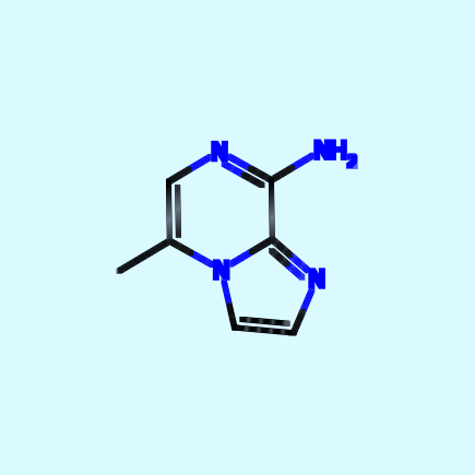 Cc1cnc(N)c2nccn12